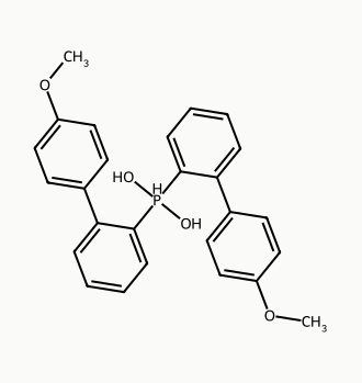 COc1ccc(-c2ccccc2[PH](O)(O)c2ccccc2-c2ccc(OC)cc2)cc1